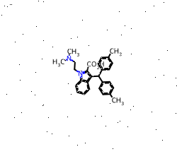 Cc1ccc(C(c2ccc(C)cc2)c2c(C(=O)O)n(CCN(C)C)c3ccccc23)cc1